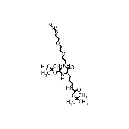 CC(C)(C)OC(=O)NCCC[C@H](NC(=O)OC(C)(C)C)C(=O)NCCOCCOCCN=[N+]=[N-]